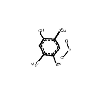 Cc1cc(O)c(C(C)(C)C)cc1C(C)(C)C.[Cl][Ti][Cl]